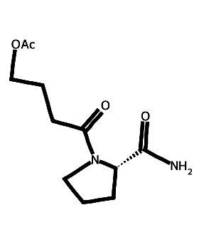 CC(=O)OCCCC(=O)N1CCC[C@H]1C(N)=O